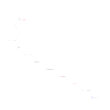 CCNCCOCCOCCOCCOC(C)(C)C(F)CNC(=O)C(C)C